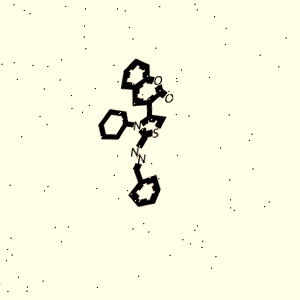 O=c1oc2ccccc2cc1-c1cs/c(=N\N=C\c2ccccc2)n1C1CCCCC1